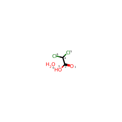 O.O=C(O)C(Cl)Cl